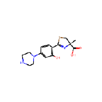 C[C@]1(C(=O)O)CSC(c2ccc(N3CCNCC3)cc2O)=N1